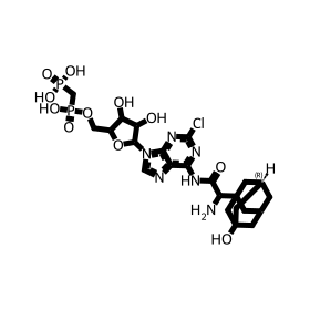 NC(C(=O)Nc1nc(Cl)nc2c1ncn2C1OC(COP(=O)(O)CP(=O)(O)O)C(O)C1O)C12CC3C[C@@H](CC(O)(C3)C1)C2